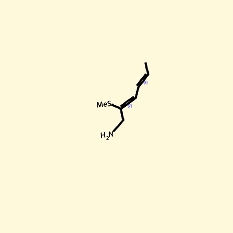 C/C=C/C=C(/CN)SC